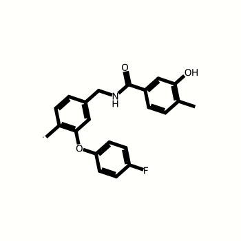 [CH2]c1ccc(CNC(=O)c2ccc(C)c(O)c2)cc1Oc1ccc(F)cc1